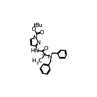 C[C@@H](C(=O)Nc1ccn(C(=O)OC(C)(C)C)n1)N(Cc1ccccc1)Cc1ccccc1